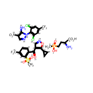 CP(=O)(O)CCC(N)C(=O)O.CS(=O)(=O)c1cc(C(F)(F)F)ccc1C(=O)c1cnoc1C1CC1.Nc1c([N+](=O)[O-])cnn1-c1c(Cl)cc(C(F)(F)F)cc1Cl